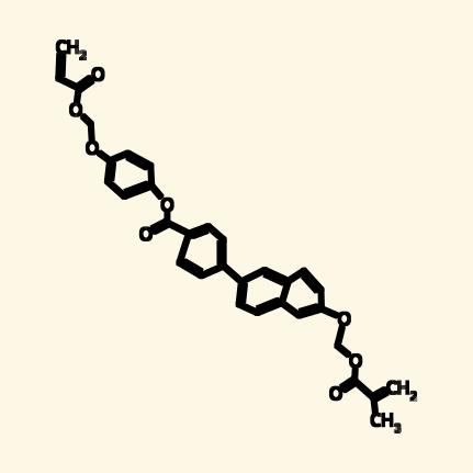 C=CC(=O)OCOc1ccc(OC(=O)c2ccc(-c3ccc4cc(OCOC(=O)C(=C)C)ccc4c3)cc2)cc1